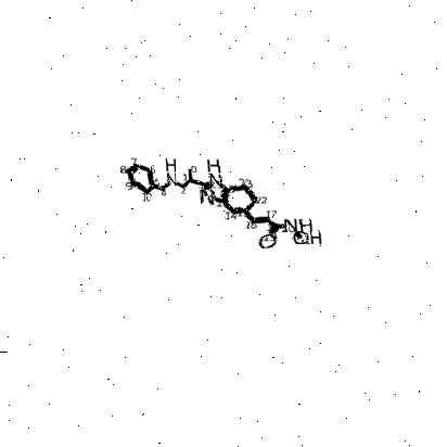 CC(CNCc1ccccc1)c1nc2cc(/C=C/C(=O)NO)ccc2[nH]1